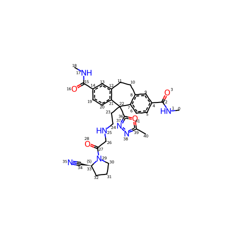 CNC(=O)c1ccc2c(c1)CCc1cc(C(=O)NC)ccc1C2(CCNCC(=O)N1CCC[C@H]1C#N)c1nnc(C)o1